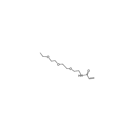 C=CC(=O)NCCOCCOCCOCC